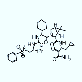 CC(C)[C@@H](CN(C)S(=O)(=O)c1ccccc1)NC(=O)N[C@H](C(=O)N1C[C@H]2[C@@H]([C@H]1C(=O)NC(CC1CC1)C(=O)C(N)=O)C2(C)C)C1CCCCC1